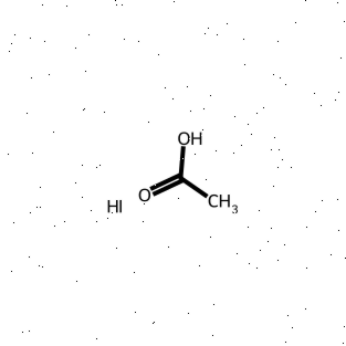 CC(=O)O.I